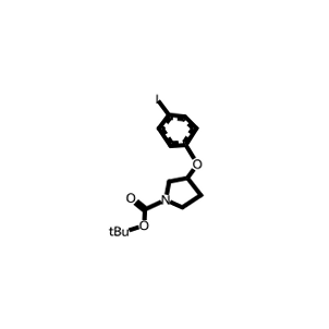 CC(C)(C)OC(=O)N1CCC(Oc2ccc(I)cc2)C1